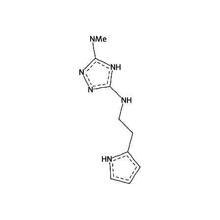 CNc1nnc(NCCc2ccc[nH]2)[nH]1